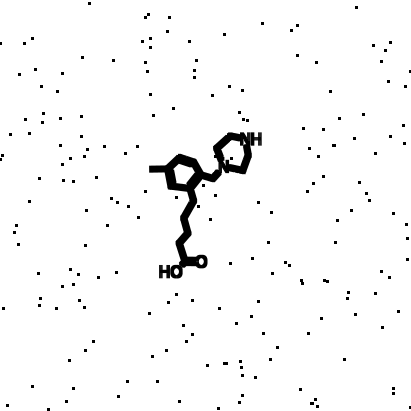 Cc1ccc(CN2CCNCC2)c(CCCCC(=O)O)c1